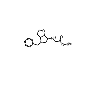 CC(C)(C)OC(=O)CN[C@H]1CN(Cc2ccccc2)C2CCOC21